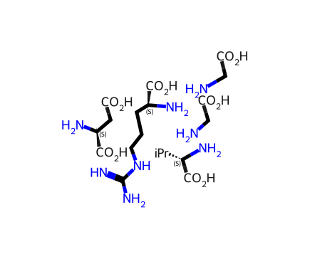 CC(C)[C@H](N)C(=O)O.N=C(N)NCCC[C@H](N)C(=O)O.NCC(=O)O.NCC(=O)O.N[C@@H](CC(=O)O)C(=O)O